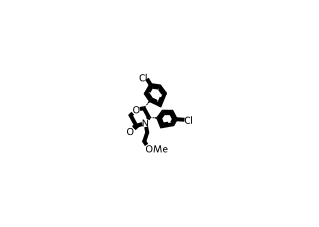 COCCN1C(=O)CO[C@H](c2cccc(Cl)c2)[C@@H]1c1ccc(Cl)cc1